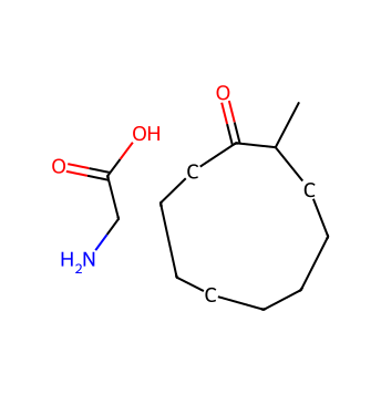 CC1CCCCCCCCC1=O.NCC(=O)O